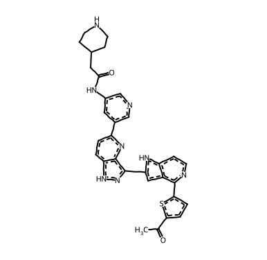 CC(=O)c1ccc(-c2nccc3[nH]c(-c4n[nH]c5ccc(-c6cncc(NC(=O)CC7CCNCC7)c6)nc45)cc23)s1